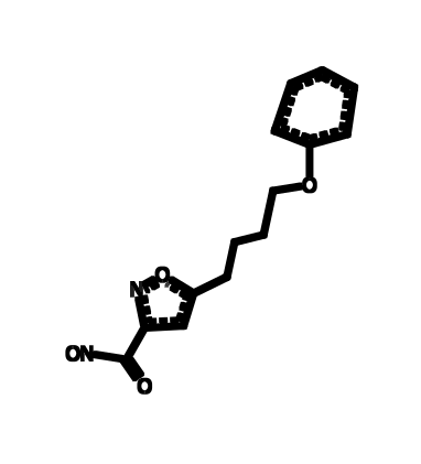 O=NC(=O)c1cc(CCCCOc2ccccc2)on1